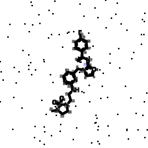 C=C(/N=c1/occn1Cc1ccnc(NCCN2CCN(C)S2(=O)=O)n1)c1ccc(F)cc1